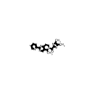 Cc1nc(C(=O)N2CCc3nc(-c4ccccn4)ncc3C2C)sc1C